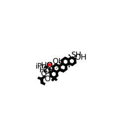 C/C=C(/C)C(=O)O[C@H]1[C@H](OC(=O)C(C)C)[C@@]2(CO)C(CC1(C)C)C1=CCC3[C@@]4(C)CC[C@H](O)[C@@](C)(S)C4CC[C@@]3(C)[C@]1(C)[C@@H](O)[C@H]2O